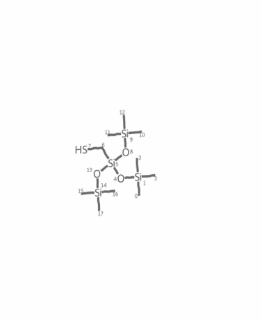 C[Si](C)(C)O[Si](CS)(O[Si](C)(C)C)O[Si](C)(C)C